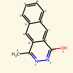 Cc1nnc(O)c2cc3ccccc3cc12